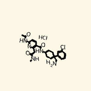 CNC(=O)Cc1nc(NC(C)=O)ccc1C(=O)NC1CCC(CN)(c2cccc(Cl)c2)CC1.Cl